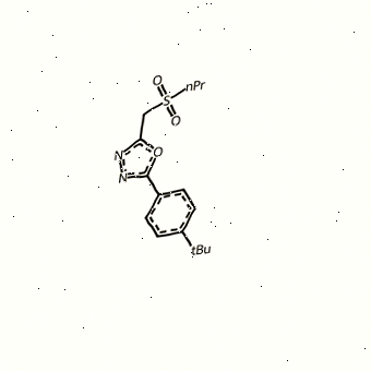 CCCS(=O)(=O)Cc1nnc(-c2ccc(C(C)(C)C)cc2)o1